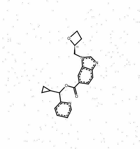 O=C(OC(c1ccccn1)C1CC1)c1ccc2ncn(C[C@@H]3CCO3)c2c1